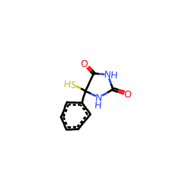 O=C1NC(=O)C(S)(c2ccccc2)N1